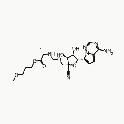 COCCCOC(=O)[C@H](C)NCOC[C@@]1(C#N)O[C@@H](c2ccc3c(N)ncnn23)[C@H](O)[C@@H]1O